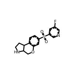 O=S(=O)(c1cncc(F)c1)c1ccc2c(c1)OCC1NCCC21